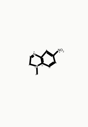 CN1CC=Nc2cc([N+](=O)[O-])ccc21